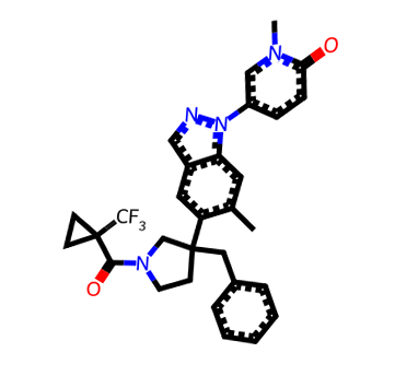 Cc1cc2c(cnn2-c2ccc(=O)n(C)c2)cc1C1(Cc2ccccc2)CCN(C(=O)C2(C(F)(F)F)CC2)C1